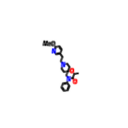 COc1ccc(CCN2CCC3(CC2)CN(c2ccccc2)C(=O)C(C)O3)cn1